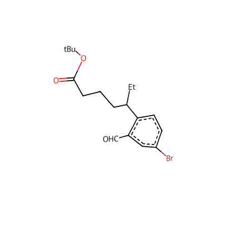 CCC(CCCC(=O)OC(C)(C)C)c1ccc(Br)cc1C=O